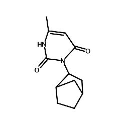 Cc1cc(=O)n(C2CC3CCC2C3)c(=O)[nH]1